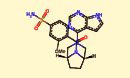 COc1cc(S(N)(=O)=O)ccc1C(=O)N1[C@@H]2CC[C@H]1CN(c1ncnc3[nH]ccc13)C2